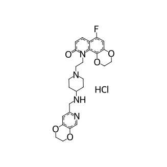 Cl.O=c1ccc2c(F)cc3c(c2n1CCN1CCC(NCc2cc4c(cn2)OCCO4)CC1)OCCO3